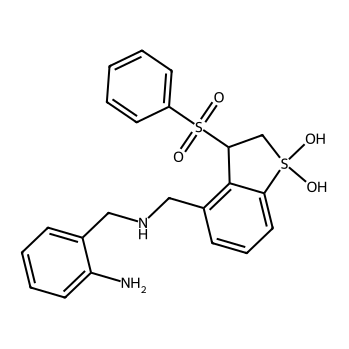 Nc1ccccc1CNCc1cccc2c1C(S(=O)(=O)c1ccccc1)CS2(O)O